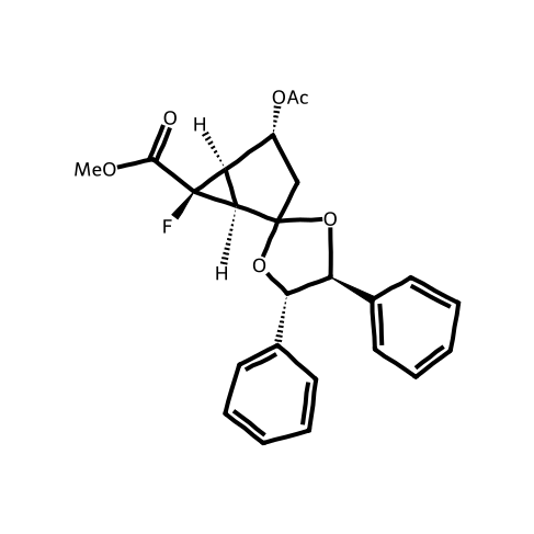 COC(=O)[C@]1(F)[C@H]2[C@H](OC(C)=O)CC3(O[C@@H](c4ccccc4)[C@H](c4ccccc4)O3)[C@H]21